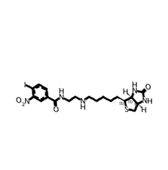 O=C1N[C@H]2[C@H](CS[C@H]2CCCCCNCCNC(=O)c2ccc(I)c([N+](=O)[O-])c2)N1